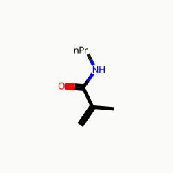 C=C(C)C(=O)NCCC